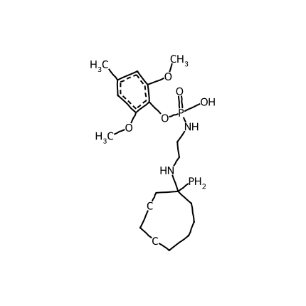 COc1cc(C)cc(OC)c1OP(=O)(O)NCCNC1(P)CCCCCCCC1